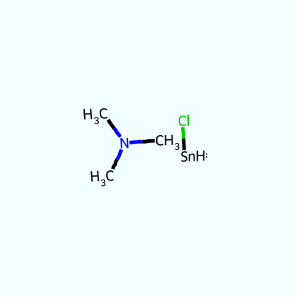 CN(C)C.[Cl][SnH]